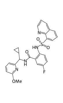 COc1cccc(C(NC(=O)c2cc(F)ccc2NS(=O)(=O)c2cccc3cccnc23)C2CC2)n1